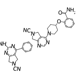 CC(=O)Nc1nc2c(c(-c3ccccc3)n1)CN(C#N)C2.N#CN1Cc2ncnc(N3CCC(Oc4ccccc4C(N)=O)CC3)c2C1